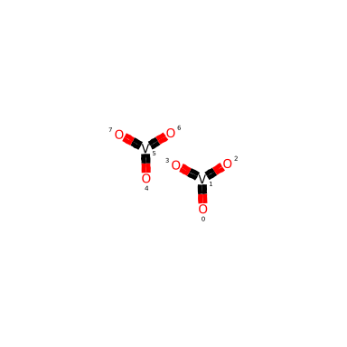 [O]=[V](=[O])=[O].[O]=[V](=[O])=[O]